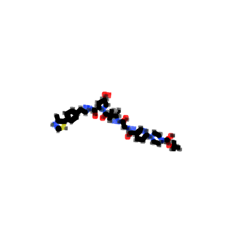 Cc1ncsc1-c1ccc(CCNC(=O)[C@@H]2C[C@@H](O)CN2C(=O)C(C)(C)[C@H](C)NC(=O)CNC(=O)c2ccc(N3CCN(C(=O)OC(C)(C)C)CC3)nc2)cc1